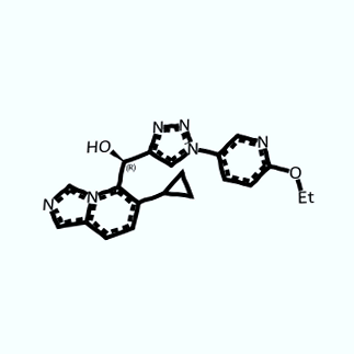 CCOc1ccc(-n2cc([C@H](O)c3c(C4CC4)ccc4cncn34)nn2)cn1